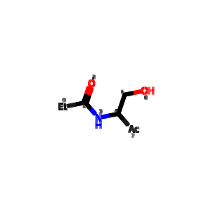 CCC(=O)NC(CO)C(C)=O